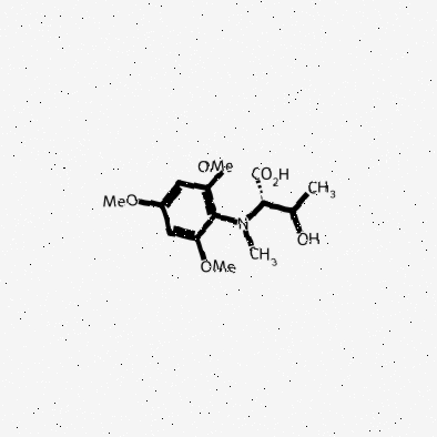 COc1cc(OC)c(N(C)[C@H](C(=O)O)C(C)O)c(OC)c1